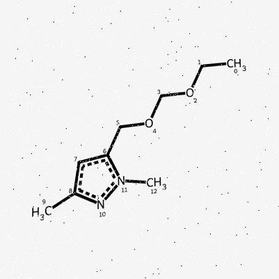 CCOCOCc1cc(C)nn1C